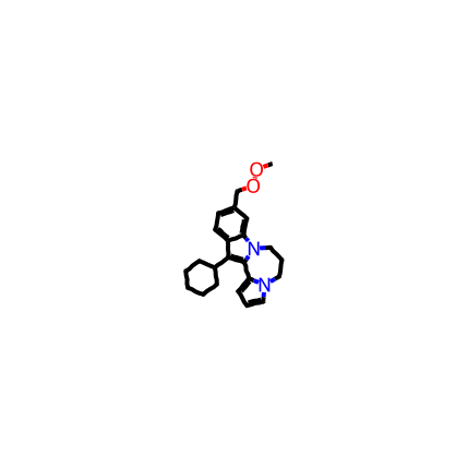 COOCc1ccc2c(C3CCCCC3)c3n(c2c1)CCCn1cccc1-3